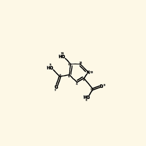 O=C(O)c1cc(C(=O)O)c(O)cn1